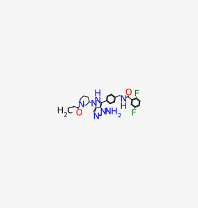 C=CC(=O)N1CCCC(N2NC(c3ccc(CNC(=O)c4cc(F)ccc4F)cc3)=C3C2=CN=CN3N)C1